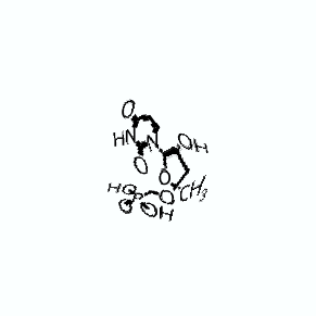 C[C@@]1(OCP(=O)(O)O)C[C@@H](O)[C@H](n2ccc(=O)[nH]c2=O)O1